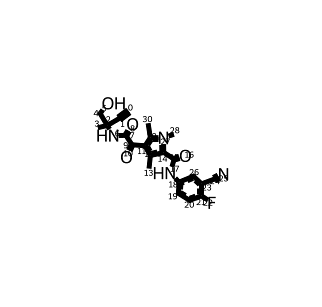 C#CC(C)(CO)NC(=O)C(=O)c1c(C)c(C(=O)Nc2ccc(F)c(C#N)c2)n(C)c1C